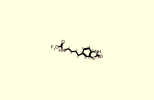 O=C(NCCCCc1ccc2[nH]c(=O)sc2c1)C(F)(F)F